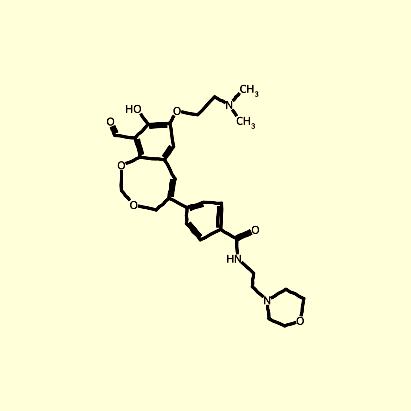 CN(C)CCOc1cc2c(c(C=O)c1O)OCOC/C(c1ccc(C(=O)NCCN3CCOCC3)cc1)=C\2